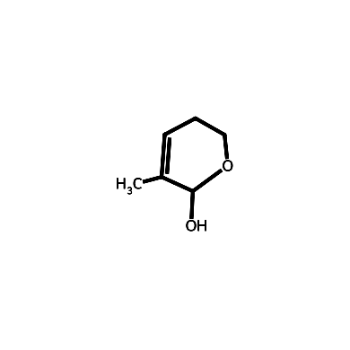 CC1=CCCOC1O